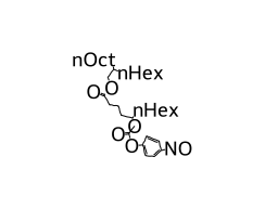 CCCCCCCCC(CCCCCC)COC(=O)CCCC(CCCCCC)OC(=O)Oc1ccc(N=O)cc1